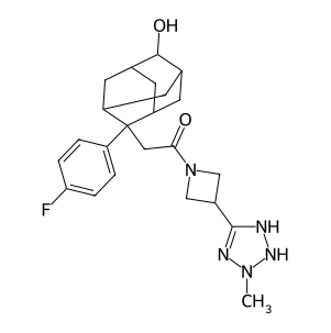 CN1N=C(C2CN(C(=O)CC3(c4ccc(F)cc4)C4CC5CC3CC(C4)C5O)C2)NN1